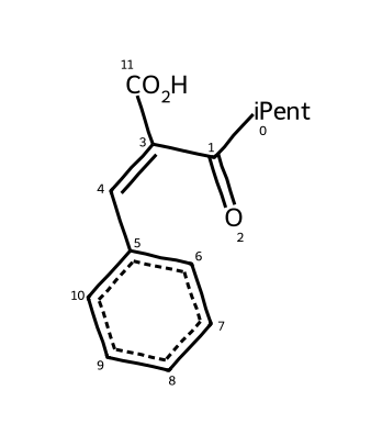 CCCC(C)C(=O)C(=Cc1ccccc1)C(=O)O